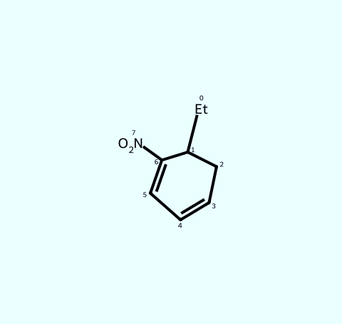 CCC1CC=CC=C1[N+](=O)[O-]